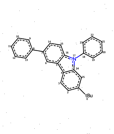 CC(C)(C)c1ccc2c3cc(-c4ccccc4)ccc3n(-c3ccccc3)c2c1